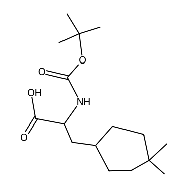 CC1(C)CCC(CC(NC(=O)OC(C)(C)C)C(=O)O)CC1